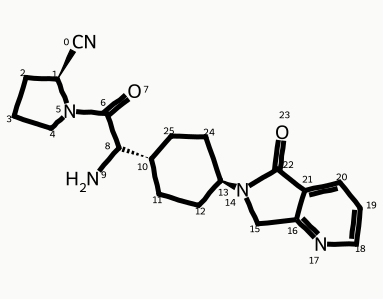 N#C[C@@H]1CCCN1C(=O)C(N)[C@H]1CC[C@H](N2Cc3ncccc3C2=O)CC1